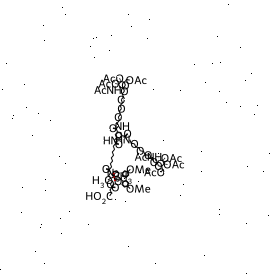 COc1ccc(C(OCC2(C)CN(C(=O)CCCCCCCCC(=O)Nc3cc(C(=O)NCCOCCOCCOCCOC4O[C@H](COC(C)=O)[C@H](OC(C)=O)[C@H](OC(C)=O)[C@H]4NC(C)=O)cc(C(=O)NCCOCCOCCOCCOC4O[C@H](COC(C)=O)[C@H](OC(C)=O)[C@H](OC(C)=O)[C@H]4NC(C)=O)c3)CC2(C)COC(=O)CCC(=O)O)(c2ccccc2)c2ccc(OC)cc2)cc1